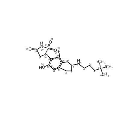 CS(C)(C)CCCNC1CCc2cc(O)c(N3CC(=O)NS3(=O)=O)c(F)c2C1